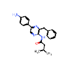 CC(C)CC(=O)Nc1ncc(-c2ccc(N)cc2)nc1Cc1ccccc1